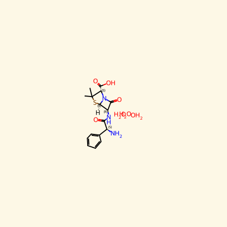 CC1(C)S[C@@H]2[C@H](NC(=O)[C@@H](N)c3ccccc3)C(=O)N2[C@H]1C(=O)O.O.O.O